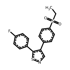 CCS(=O)(=O)c1ccc(-c2cnsc2-c2ccc(F)cc2)cc1